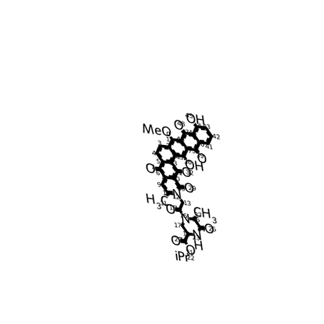 COc1c2ccc3c(=O)c4cc(C)n(CC(=O)N5CC(C(=O)OC(C)C)NC(=O)C5C)c(=O)c4c(=O)c3c2c(O)c2c(=O)c3cccc(O)c3c(=O)c12